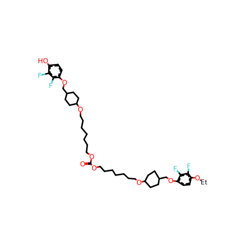 CCOc1ccc(OCC2CCC(OCCCCCCCOC(=O)OCCCCCCCOC3CCC(COc4ccc(O)c(F)c4F)CC3)CC2)c(F)c1F